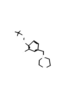 FC(F)(F)OOc1ccc(CN2CCOCC2)cc1Br